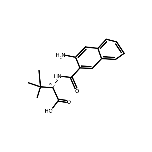 CC(C)(C)[C@H](NC(=O)c1cc2ccccc2cc1N)C(=O)O